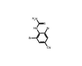 N#Cc1cc(Br)c(NC(N)=S)c(Br)c1